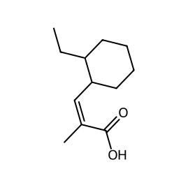 CCC1CCCCC1C=C(C)C(=O)O